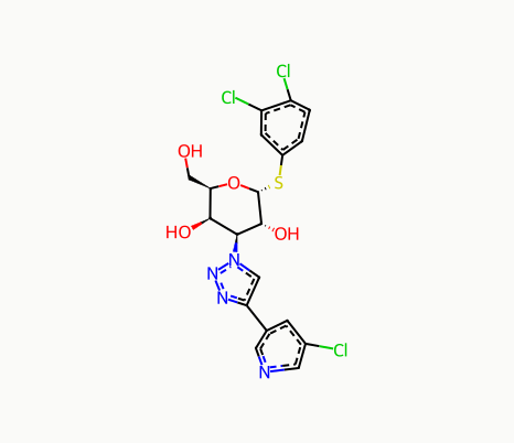 OC[C@H]1O[C@H](Sc2ccc(Cl)c(Cl)c2)[C@H](O)[C@@H](n2cc(-c3cncc(Cl)c3)nn2)[C@H]1O